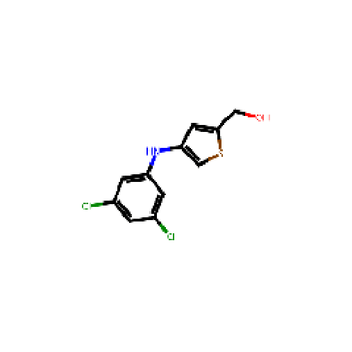 OCc1cc(Nc2cc(Cl)cc(Cl)c2)[c]s1